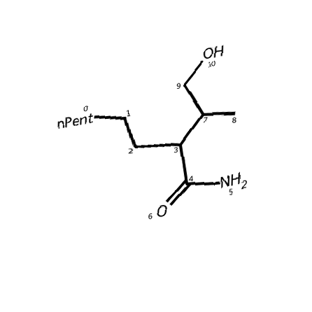 CCCCCCCC(C(N)=O)C(C)CO